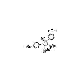 CCCCCCCCc1cccc(C2=C(CCCC)C(CCCC)=C(c3ccc(CCCC)cc3)[N+]2=[N-])c1.[Br][Ni][Br]